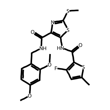 COc1ccc(CNC(=O)c2nc(SC)sc2NC(=O)c2sc(C)cc2F)c(OC)c1